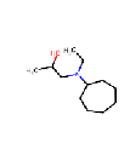 CCN(CC(C)O)C1CCCCCC1